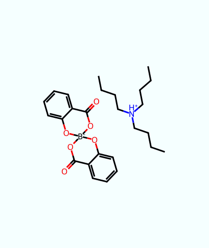 CCCC[NH+](CCCC)CCCC.O=C1O[B-]2(OC(=O)c3ccccc3O2)Oc2ccccc21